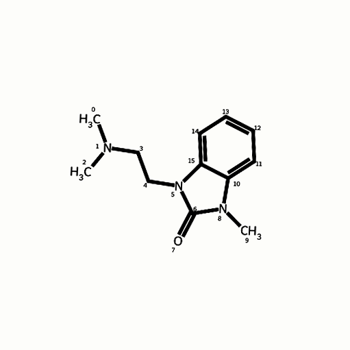 CN(C)CCn1c(=O)n(C)c2ccccc21